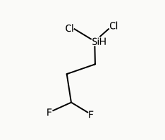 FC(F)CC[SiH](Cl)Cl